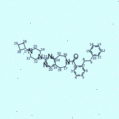 O=C(c1ccccc1CCc1ccccc1)N1CCc2cnc(N3CCN(C4CCC4)CC3)nc2CC1